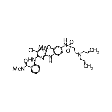 C=CCN(CC=C)CCS(=O)(=O)Nc1ccc(Nc2ncc(Cl)c(Nc3ccccc3C(=O)NC)n2)c(OC)c1